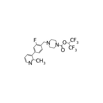 Cc1ncccc1-c1ccc(CN2CCN(C(=O)OC(C(F)(F)F)C(F)(F)F)CC2)c(F)c1